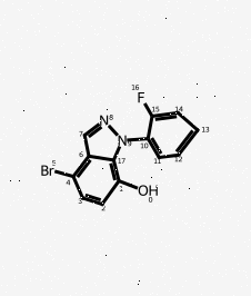 Oc1ccc(Br)c2cnn(-c3ccccc3F)c12